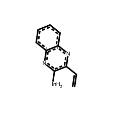 C=Cc1nc2ccccc2n[c]1[InH2]